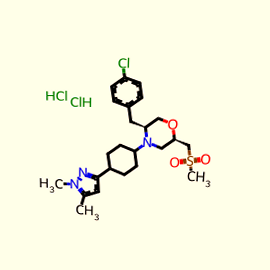 Cc1cc(C2CCC(N3C[C@H](CS(C)(=O)=O)OC[C@@H]3Cc3ccc(Cl)cc3)CC2)nn1C.Cl.Cl